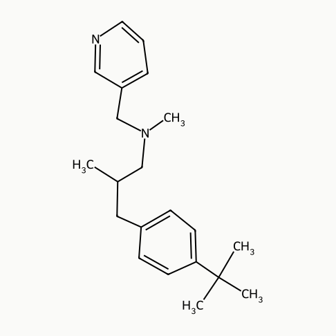 CC(Cc1ccc(C(C)(C)C)cc1)CN(C)Cc1cccnc1